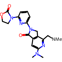 CNCc1nc(N(C)C)cc2c1CN(c1cccc(N3CCOC3=O)n1)C2=O